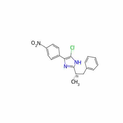 C[C@@H](Cc1ccccc1)c1nc(-c2ccc([N+](=O)[O-])cc2)c(Cl)[nH]1